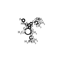 CC[C@H]1CCC[C@H](O[C@H]2CC[C@H](N(C)C)C(C)O2)[C@@H](C)C(=O)C2=C[C@@H]3C(c4nc(Nc5cccc(F)c5)sc4C4C[C@@H](O[C@@H]5OC(C)[C@H](OC)C(OC)C5OC)C[C@H]43)[C@@H]2CC(=O)O1